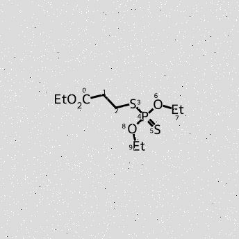 CCOC(=O)CCSP(=S)(OCC)OCC